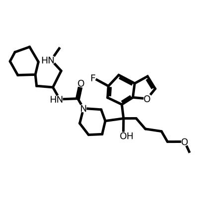 CNCC(CC1CCCCC1)NC(=O)N1CCCC(C(O)(CCCCOC)c2cc(F)cc3ccoc23)C1